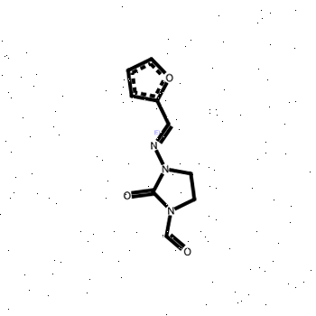 O=[C]N1CCN(/N=C/c2ccco2)C1=O